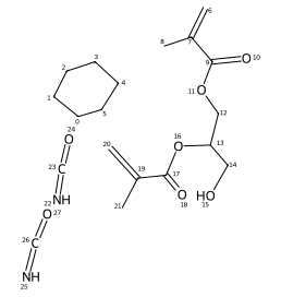 C1CCCCC1.C=C(C)C(=O)OCC(CO)OC(=O)C(=C)C.N=C=O.N=C=O